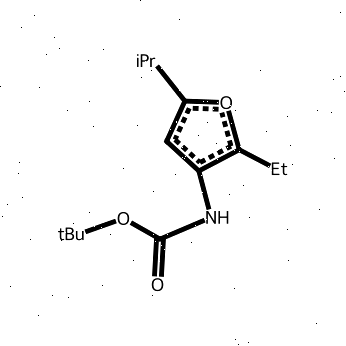 CCc1oc(C(C)C)cc1NC(=O)OC(C)(C)C